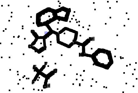 N=C(Nc1ccccc1)N1CCN(/C(=C2\N=COC2=O)c2cccc3cocc23)CC1.O=C(O)C(F)(F)F